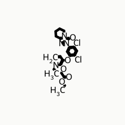 C=C/C(Oc1cc(-n2nc3n(c2=O)CCCC3)c(Cl)cc1Cl)=C(\N=C/C)OCC(=O)OCC